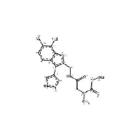 CN(CC(=O)NCc1[nH]c2c(Cl)c(Cl)ccc2c1-c1cn[nH]c1)C(=O)OC(C)(C)C